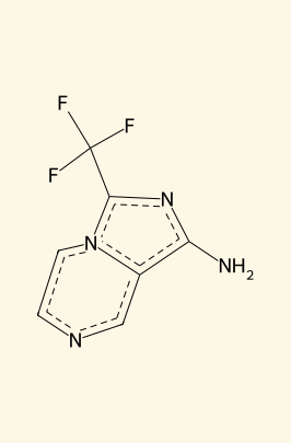 Nc1nc(C(F)(F)F)n2ccncc12